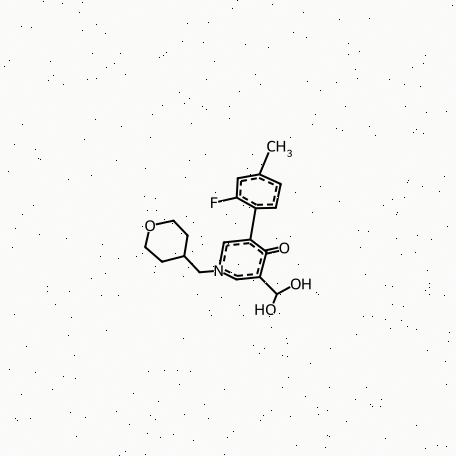 Cc1ccc(-c2cn(CC3CCOCC3)cc(C(O)O)c2=O)c(F)c1